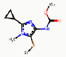 CCSc1c(NC(=O)OC(C)(C)C)nc(C2CC2)n1C